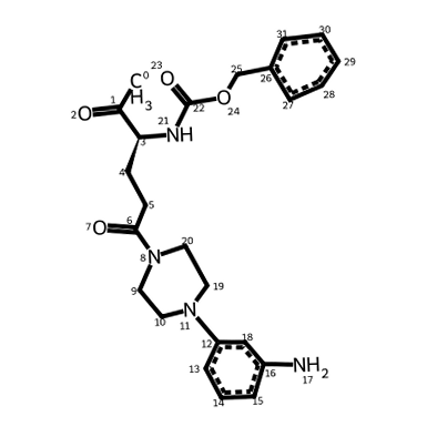 CC(=O)[C@H](CCC(=O)N1CCN(c2cccc(N)c2)CC1)NC(=O)OCc1ccccc1